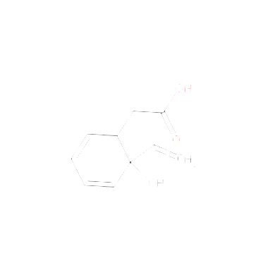 C=CC1(O)C=CC=CC1CC(=O)O